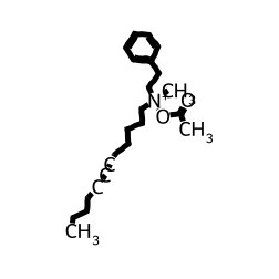 CCCCCCCCCCCC[N+](C)(CCc1ccccc1)OC(C)=O